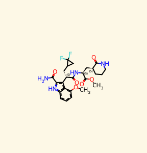 COC(=O)[C@H](C[C@@H]1CCCNC1=O)NC(=O)[C@@H](CC1CC1(F)F)c1c(C(N)=O)[nH]c2cccc(OC)c12